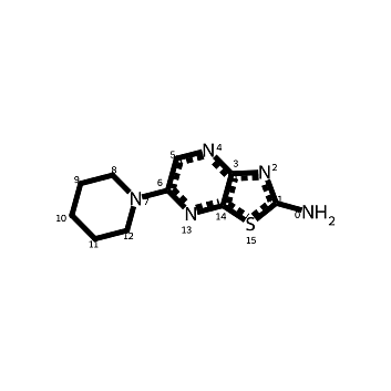 Nc1nc2ncc(N3CCCCC3)nc2s1